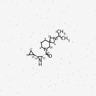 CC(C)N1CC2(CCCN(C(=O)[C@@H]3N[C@H]3C3CC3)C2)C1